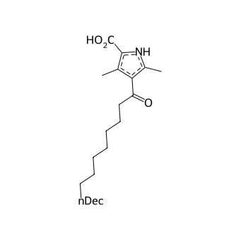 CCCCCCCCCCCCCCCCCC(=O)c1c(C)[nH]c(C(=O)O)c1C